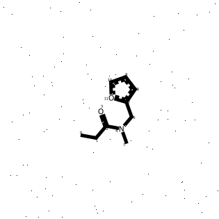 CCC(=O)N(C)Cc1ccco1